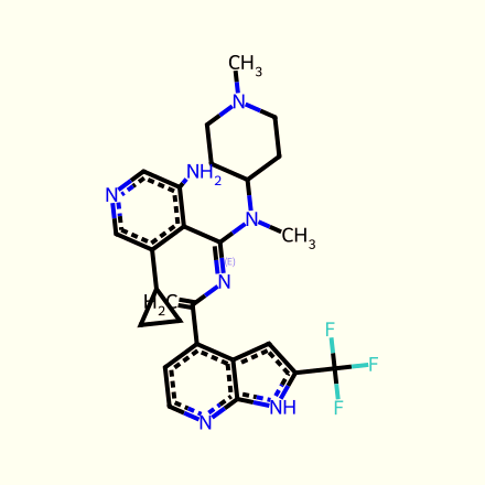 C=C(/N=C(\c1c(N)cncc1C1CC1)N(C)C1CCN(C)CC1)c1ccnc2[nH]c(C(F)(F)F)cc12